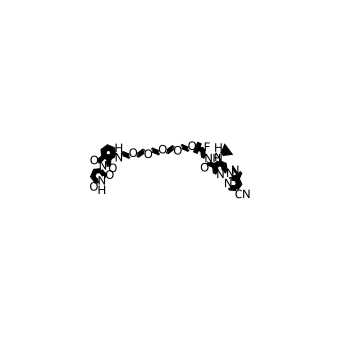 CC(C)(OCCOCCOCCOCCOCCNc1cccc2c1C(=O)N(C1CCC(=O)NC1=O)C2=O)C(F)CNC(=O)c1cnc(-n2ncc3cc(C#N)cnc32)cc1NC1CC1